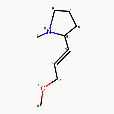 COCC=CC1CCCN1C